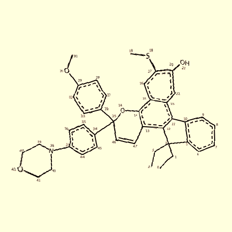 CCC1(CC)c2ccccc2-c2c1c1c(c3cc(SC)c(O)cc23)OC(c2ccc(OC)cc2)(c2ccc(N3CCOCC3)cc2)C=C1